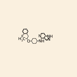 CC(Cc1ccccc1F)OC1CCC(Nc2nccc3[nH]ncc23)CC1